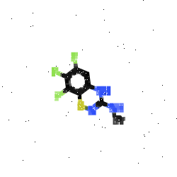 CC(C)NC1=NSc2c(cc(F)c(F)c2F)N1